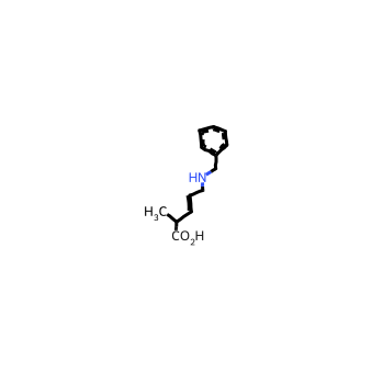 CC(C=CCNCc1ccccc1)C(=O)O